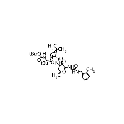 C=CCC(NC(=O)[C@@H]1C2C(CN1C(=O)[C@@H](NC(=O)OC(C)(C)C)C(C)(C)C)C2(C)C)C(=O)C(=O)NCC(=O)NCc1ccccc1C